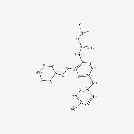 CN(C)CC(=O)Nc1cnc(Nc2cnc(C#N)cn2)cc1CCC1CCNCC1